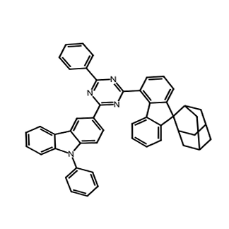 c1ccc(-c2nc(-c3ccc4c(c3)c3ccccc3n4-c3ccccc3)nc(-c3cccc4c3-c3ccccc3C43C4CC5CC(C4)CC3C5)n2)cc1